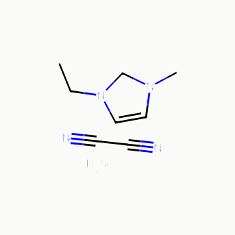 CCN1C=CN(C)C1.N#CC#N.[SeH2]